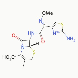 CON=C(C(=O)NC1C(=O)N2C(C(=O)O)=C(C)CS[C@@H]12)c1csc(N)n1